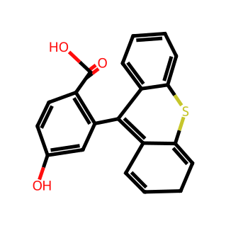 O=C(O)c1ccc(O)cc1C1=C2C=CCC=C2Sc2ccccc21